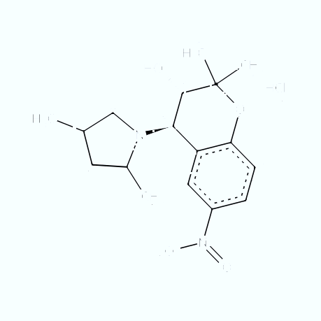 CC1CC(C)N([C@@H]2c3cc([N+](=O)[O-])ccc3OC(C)(C)[C@H]2O)C1.Cl